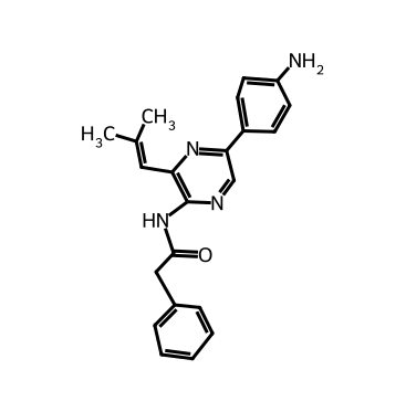 CC(C)=Cc1nc(-c2ccc(N)cc2)cnc1NC(=O)Cc1ccccc1